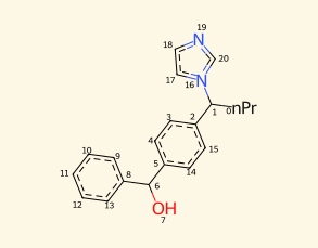 CCCC(c1ccc(C(O)c2ccccc2)cc1)n1ccnc1